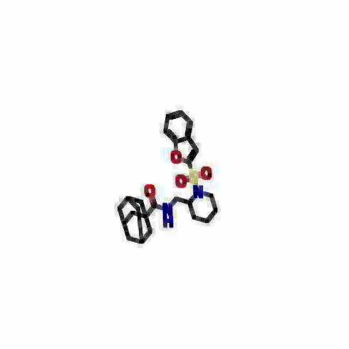 O=C(NCC1CCCCN1S(=O)(=O)c1cc2ccccc2o1)C12CC3CC(CC(C3)C1)C2